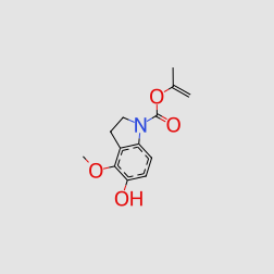 C=C(C)OC(=O)N1CCc2c1ccc(O)c2OC